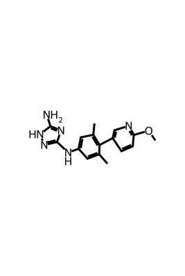 COc1ccc(-c2c(C)cc(Nc3n[nH]c(N)n3)cc2C)cn1